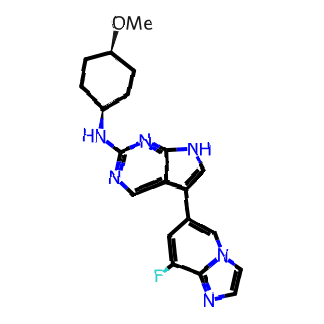 CO[C@H]1CC[C@@H](Nc2ncc3c(-c4cc(F)c5nccn5c4)c[nH]c3n2)CC1